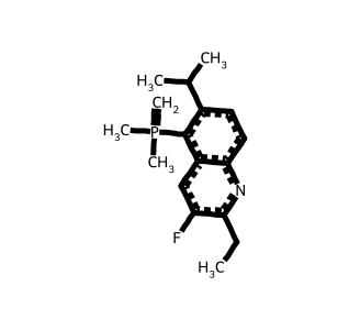 C=P(C)(C)c1c(C(C)C)ccc2nc(CC)c(F)cc12